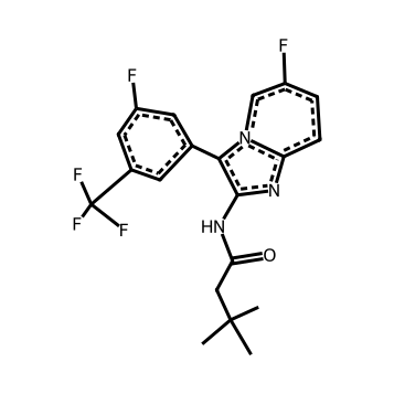 CC(C)(C)CC(=O)Nc1nc2ccc(F)cn2c1-c1cc(F)cc(C(F)(F)F)c1